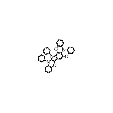 c1ccc(N2c3ccccc3Oc3c2n(-c2ccccc2)c2c4c5c(cc32)Oc2ccccc2B5c2ccccc2O4)cc1